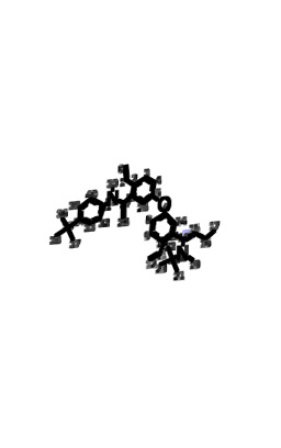 C=Cc1ccc(Oc2ccc(C=C)c(/C(=C/CC)N(C)C(C)(C)C)c2)cc1C(=C)N(C)c1ccc(C(C)(C)C)cc1